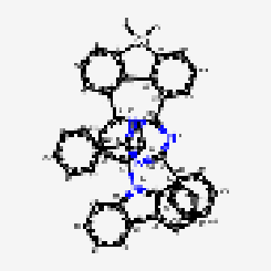 C[Si]1(C)c2cccc(-c3ccc(-n4c5ccccc5c5ccccc54)cc3)c2-c2c(-c3nc(-c4ccccc4)nc(-c4ccccc4)n3)cccc21